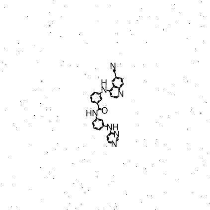 N#Cc1ccc2nccc(Nc3cccc(C(=O)Nc4cccc(Nc5ccncn5)c4)c3)c2c1